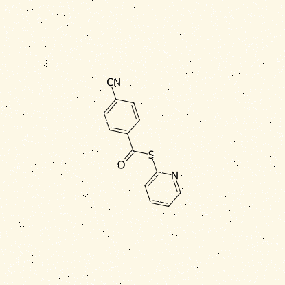 N#Cc1ccc(C(=O)Sc2ccccn2)cc1